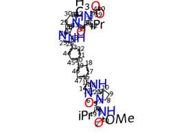 COC(=O)N[C@H](C(=O)N1CCC[C@H]1c1ncc(-c2ccc(-c3ccc(-c4cnc([C@@H]5CC[C@H](C)N5C(=O)[C@@H](NC5OCO5)C(C)C)[nH]4)cc3)cc2)[nH]1)C(C)C